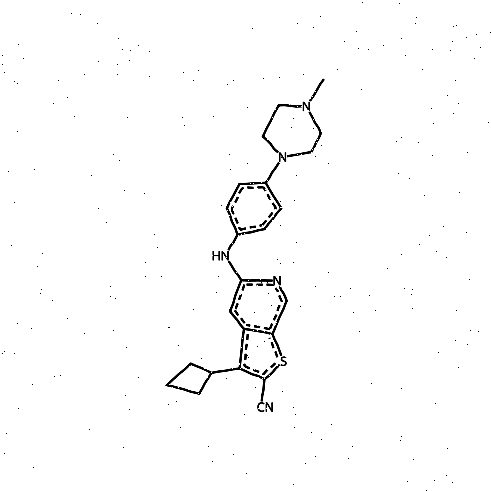 CN1CCN(c2ccc(Nc3cc4c(C5CCC5)c(C#N)sc4cn3)cc2)CC1